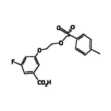 Cc1ccc(S(=O)(=O)OCCOc2cc(F)cc(C(=O)O)c2)cc1